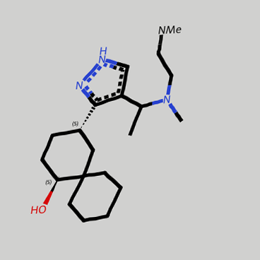 CNCCN(C)C(C)c1c[nH]nc1[C@H]1CC[C@H](O)C2(CCCCC2)C1